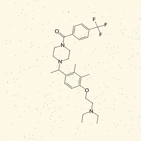 CCN(CC)CCOc1ccc(C(C)N2CCN(C(=O)c3ccc(C(F)(F)F)cc3)CC2)c(C)c1C